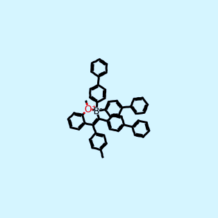 Cc1ccc(C2=C(c3ccc(-c4ccccc4)cc3)[B-](c3ccc(-c4ccccc4)cc3)(c3ccc(-c4ccccc4)cc3)[O+](C)c3ccccc32)cc1